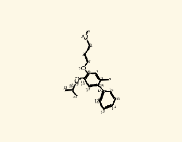 COCCCOc1cc(C)c(-c2ccccc2)cc1OC(C)C